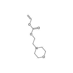 C=COC(=O)OCCN1CCOCC1